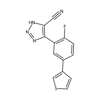 N#Cc1[nH]nnc1-c1cc(-c2ccsc2)ccc1F